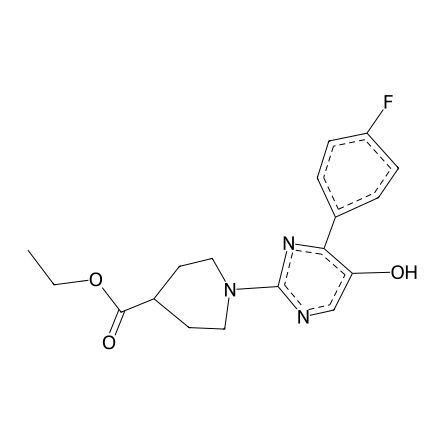 CCOC(=O)C1CCN(c2ncc(O)c(-c3ccc(F)cc3)n2)CC1